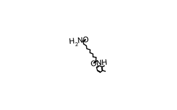 Cc1cccc(NC(=O)CCCCCCCCC(N)=O)c1C